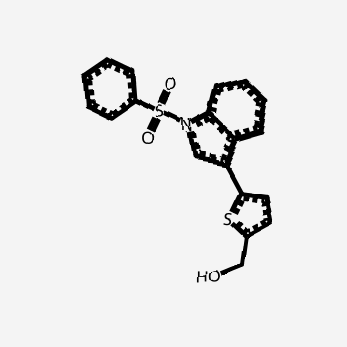 O=S(=O)(c1ccccc1)n1cc(-c2ccc(CO)s2)c2ccccc21